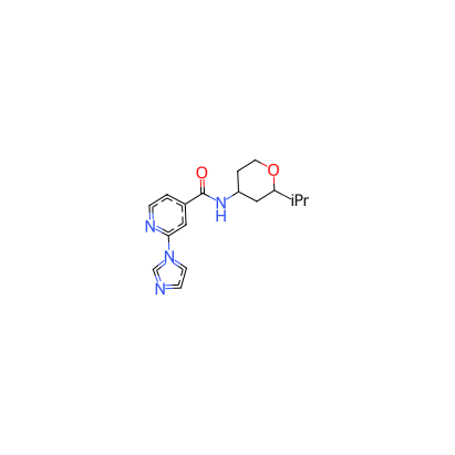 CC(C)C1CC(NC(=O)c2ccnc(-n3ccnc3)c2)CCO1